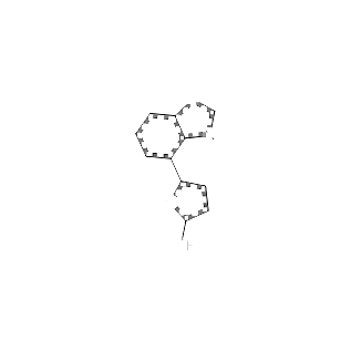 FC(F)(F)c1ccc(-c2cccc3scnc23)s1